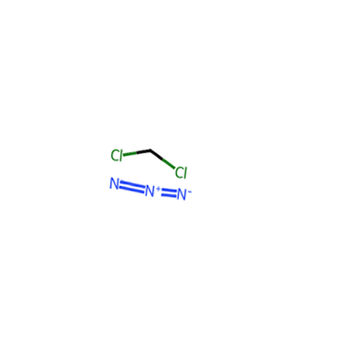 ClCCl.[N-]=[N+]=[N-]